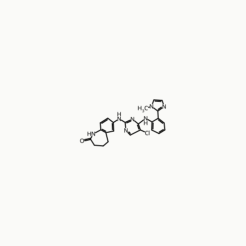 Cn1ccnc1-c1ccccc1Nc1nc(Nc2ccc3c(c2)CCCC(=O)N3)ncc1Cl